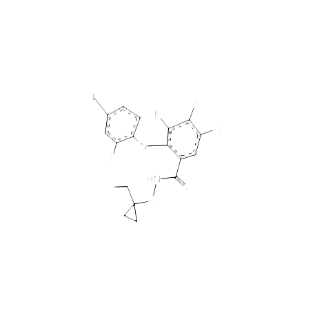 O=C(NOC1(CO)CC1)c1cc(Cl)c(F)c(F)c1Nc1ccc(I)cc1F